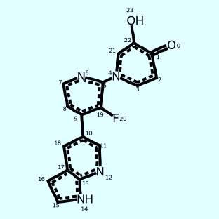 O=c1ccn(-c2nccc(-c3cnc4[nH]ccc4c3)c2F)cc1O